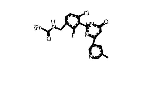 Cc1cncc(-c2cc(=O)[nH]c(-c3c(Cl)ccc(CNC(=O)C(C)C)c3F)n2)c1